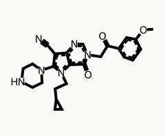 COc1cccc(C(=O)Cn2cnc3c(C#N)c(N4CCNCC4)n(CCC4CC4)c3c2=O)c1